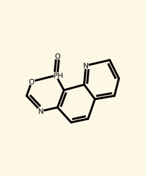 O=[PH]1OC=Nc2ccc3cccnc3c21